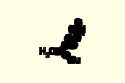 Cc1ccc(N(c2ccc(-c3ccccc3-c3ccccc3-c3ccc(-c4nnc(-c5ccccc5)n4-c4ccccc4)cc3)cc2)c2ccc(C(C)(C)C)cc2)cc1